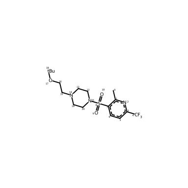 Cc1nc(C(F)(F)F)ccc1S(=O)(=O)N1CCN(CCOC(C)(C)C)CC1